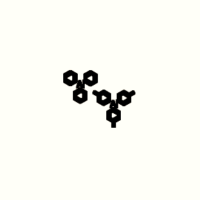 Cc1cc[c]([Al]([c]2ccc(C)cc2)[c]2ccc(C)cc2)cc1.c1cc[c]([Al]([c]2ccccc2)[c]2ccccc2)cc1